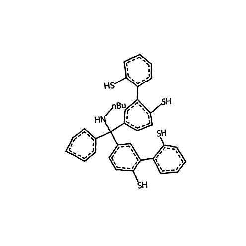 CCCCNC(c1ccccc1)(c1ccc(S)c(-c2ccccc2S)c1)c1ccc(S)c(-c2ccccc2S)c1